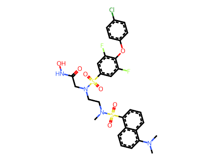 CN(C)c1cccc2c(S(=O)(=O)N(C)CCN(CC(=O)NO)S(=O)(=O)c3cc(F)c(Oc4ccc(Cl)cc4)c(F)c3)cccc12